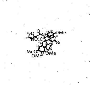 COc1ccc(C(NC(=O)OC2C=CCO2)(C(=O)O)C(Cc2cc(OC)c(OC)c(OC)c2)(C2=CC(=O)CC=C2)C2=CCOO2)cc1